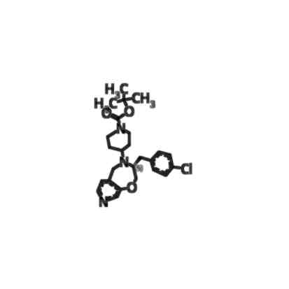 CC(C)(C)OC(=O)N1CCC(N2Cc3ccncc3OC[C@@H]2Cc2ccc(Cl)cc2)CC1